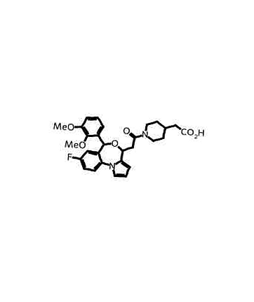 COc1cccc(C2OC(CC(=O)N3CCC(CC(=O)O)CC3)c3cccn3-c3ccc(F)cc32)c1OC